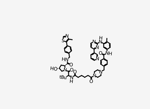 Cc1ccc(NC(=O)c2ccc(CN3CCN(C(=O)CCCCC(=O)NC(C(=O)N4C[C@H](O)C[C@H]4C(=O)NCc4ccc(-c5scnc5C)cc4)C(C)(C)C)CC3)cc2)cc1Nc1nccc(-c2cccnc2)n1